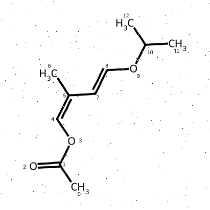 CC(=O)OC=C(C)C=COC(C)C